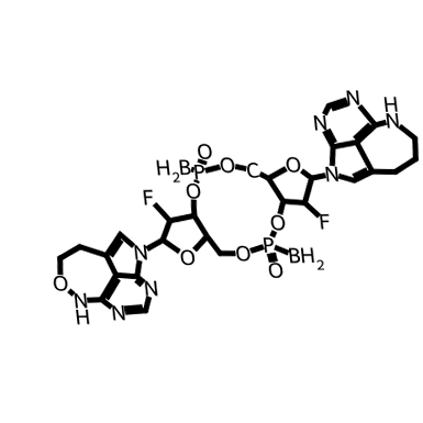 BP1(=O)OCC2OC(n3cc4c5c(ncnc53)NOCC4)C(F)C2OP(B)(=O)OCC2OC(n3cc4c5c(ncnc53)NCCC4)C(F)C2O1